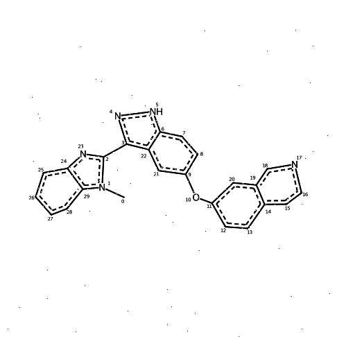 Cn1c(-c2n[nH]c3ccc(Oc4ccc5ccncc5c4)cc23)nc2ccccc21